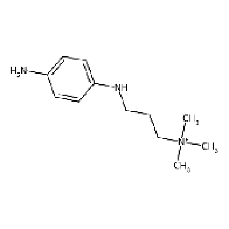 C[N+](C)(C)CCCNc1ccc(N)cc1